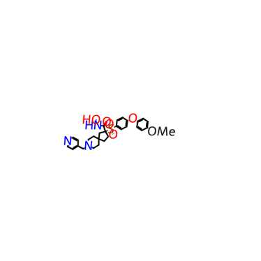 COc1ccc(Oc2ccc(S(=O)(=O)C3(C(=O)NO)CCC4(CCN(Cc5ccncc5)CC4)C3)cc2)cc1